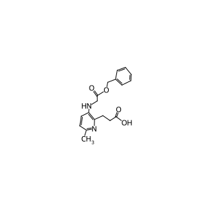 Cc1ccc(NCC(=O)OCc2ccccc2)c(CCC(=O)O)n1